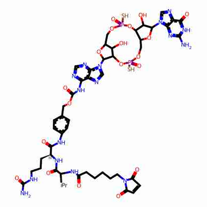 CC(C)C(NC(=O)CCCCCN1C(=O)C=CC1=O)C(=O)N[C@@H](CCCNC(N)=O)C(=O)Nc1ccc(COC(=O)Nc2ncnc3c2ncn3C2OC3COP(=O)(S)OC4C(COP(=O)(S)OC2C3O)OC(n2cnc3c(=O)[nH]c(N)nc32)C4O)cc1